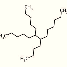 CCCCCCC(CCCC)C(CCCCC)CCCCC